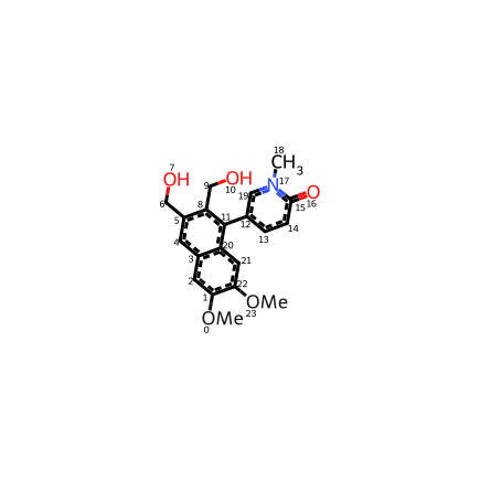 COc1cc2cc(CO)c(CO)c(-c3ccc(=O)n(C)c3)c2cc1OC